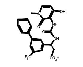 Cn1ccc(O)c(NC(=O)N[C@@H](CC(=O)O)c2cc(-c3ccccc3)cc(C(F)(F)F)c2)c1=O